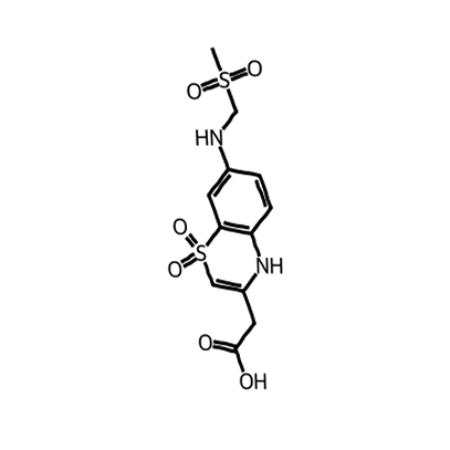 CS(=O)(=O)CNc1ccc2c(c1)S(=O)(=O)C=C(CC(=O)O)N2